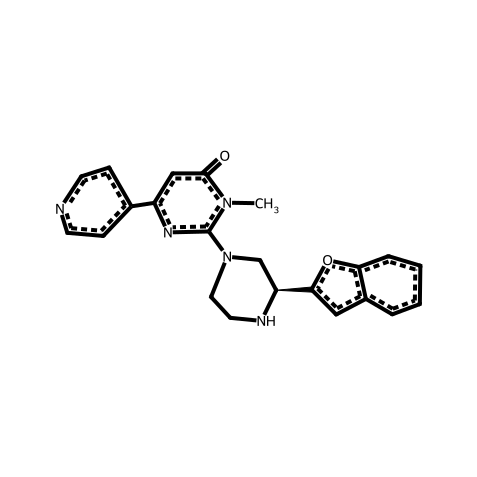 Cn1c(N2CCN[C@H](c3cc4ccccc4o3)C2)nc(-c2ccncc2)cc1=O